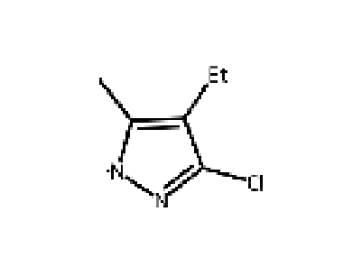 CCC1=C(C)[N]N=C1Cl